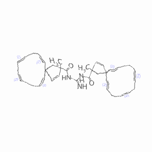 CC1(C(=O)NC(=N)NC(=O)C2(C)C=CC3(/C=C\C/C=C\C/C=C\C/C=C\3)C2)C=CC2(/C=C\C/C=C\C/C=C\C/C=C\2)C1